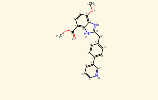 COC(=O)c1ccc(OC)c2nc(Cc3ccc(-c4cccnc4)cc3)[nH]c12